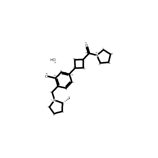 C[C@@H]1CCCN1Cc1ccc(C2CC(C(=O)N3CCCC3)C2)cc1Cl.Cl